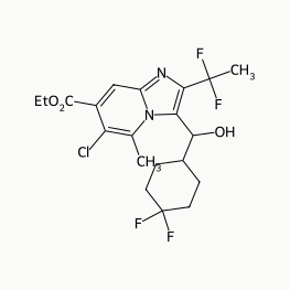 CCOC(=O)c1cc2nc(C(C)(F)F)c(C(O)C3CCC(F)(F)CC3)n2c(C)c1Cl